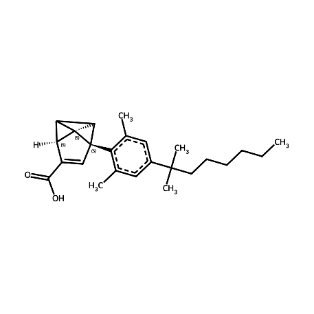 CCCCCCC(C)(C)c1cc(C)c([C@]23C=C(C(=O)O)[C@H]4C5C2[C@@]543)c(C)c1